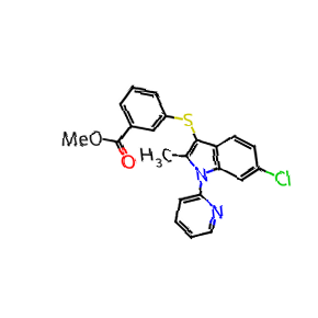 COC(=O)c1cccc(Sc2c(C)n(-c3ccccn3)c3cc(Cl)ccc23)c1